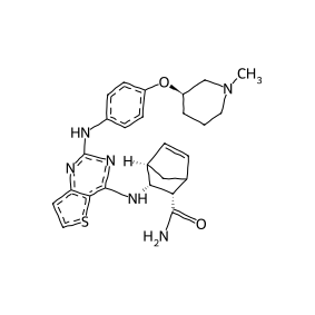 CN1CCC[C@@H](Oc2ccc(Nc3nc(N[C@@H]4[C@H]5C=CC(C5)[C@@H]4C(N)=O)c4sccc4n3)cc2)C1